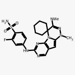 CNC1=NN(C)c2cc3cnc(Nc4ccc(S(N)(=O)=O)c(F)c4)nc3n2C12CCCCC2